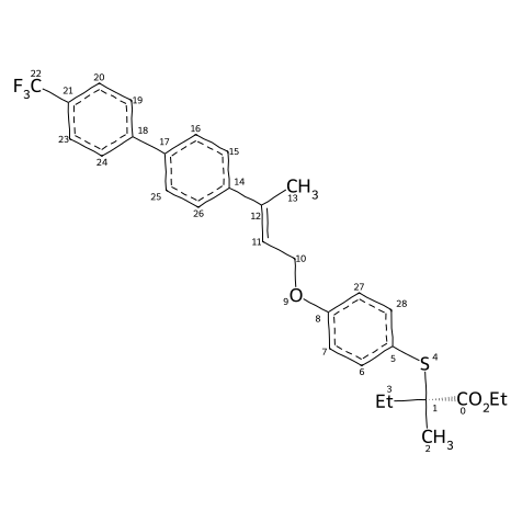 CCOC(=O)[C@](C)(CC)Sc1ccc(OC/C=C(\C)c2ccc(-c3ccc(C(F)(F)F)cc3)cc2)cc1